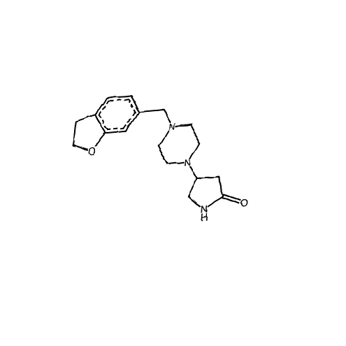 O=C1CC(N2CCN(Cc3ccc4c(c3)OCC4)CC2)CN1